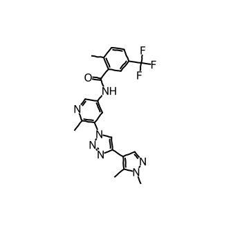 Cc1ccc(C(F)(F)F)cc1C(=O)Nc1cnc(C)c(-n2cc(-c3cnn(C)c3C)nn2)c1